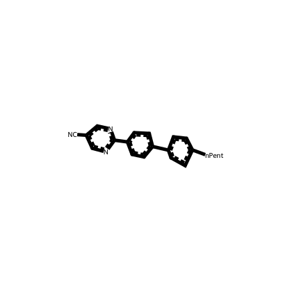 CCCCCc1ccc(-c2ccc(-c3ncc(C#N)cn3)cc2)cc1